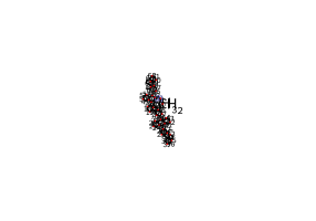 C=C/C=C\c1c(C)c(-c2cccc3c2oc2ccc(-c4c5ccccc5c(-c5ccc6c(c5)sc5ccccc56)c5ccccc45)cc23)c2ccccc2c1C1=CC=C2c3ccccc3SC2C1